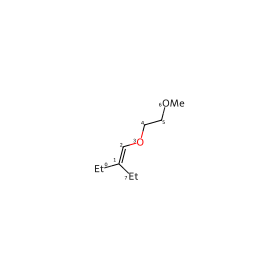 CCC(=COCCOC)CC